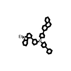 CCn1c2ccccc2c2c(-c3cccc(N(c4ccc(-c5ccccc5)cc4)c4ccc(-c5ccc6c(ccc7ccccc76)c5)cc4)c3)cccc21